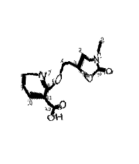 CN1CC(COc2ncccc2C(=O)O)OC1=O